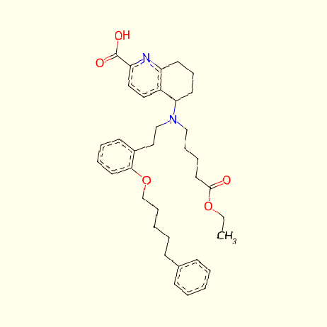 CCOC(=O)CCCCN(CCc1ccccc1OCCCCCc1ccccc1)C1CCCc2nc(C(=O)O)ccc21